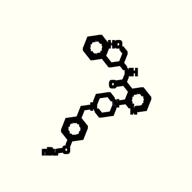 CCCCOc1ccc(CN2CCN(c3ncccc3C(=O)NC(CO)Cc3ccccc3)CC2)cc1